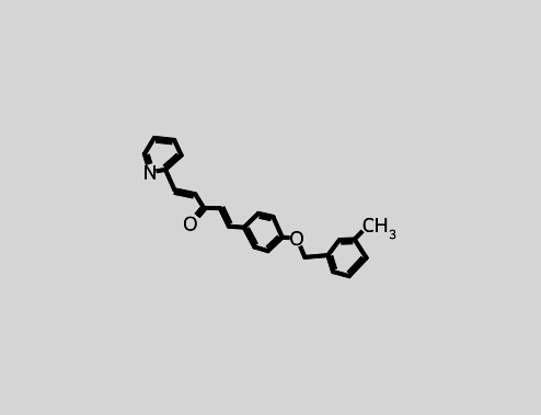 Cc1cccc(COc2ccc(C=CC(=O)C=Cc3ccccn3)cc2)c1